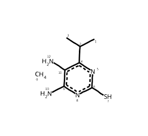 C.CC(C)c1nc(S)nc(N)c1N